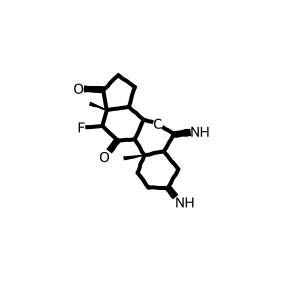 C[C@]12CCC(=N)CC1C(=N)CC1C2C(=O)C(F)[C@]2(C)C(=O)CCC12